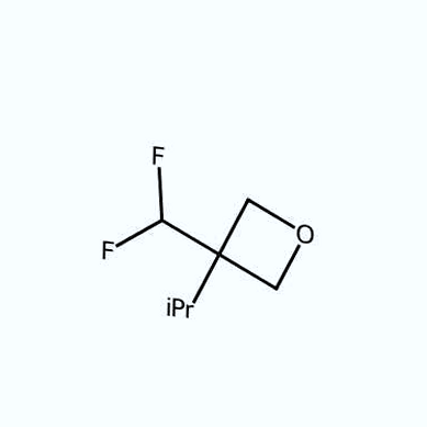 CC(C)C1(C(F)F)COC1